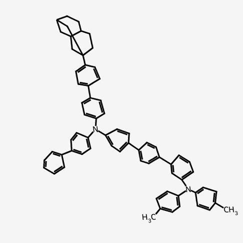 Cc1ccc(N(c2ccc(C)cc2)c2cccc(-c3ccc(-c4ccc(N(c5ccc(-c6ccccc6)cc5)c5ccc(-c6ccc(C78CCC9CCC(CC9C7)C8)cc6)cc5)cc4)cc3)c2)cc1